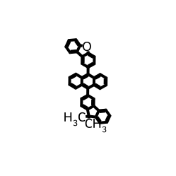 CC1(C)c2ccccc2-c2cc(-c3c4ccccc4c(-c4ccc5oc6ccccc6c5c4)c4ccccc34)ccc21